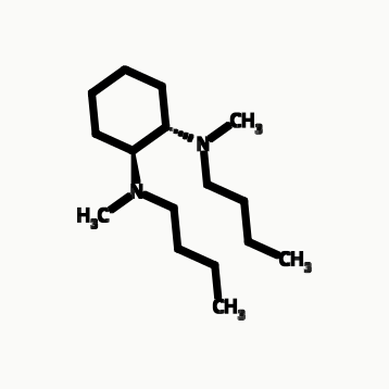 CCCCN(C)[C@H]1CCCC[C@@H]1N(C)CCCC